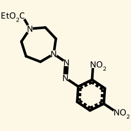 CCOC(=O)N1CCCN(N=Nc2ccc([N+](=O)[O-])cc2[N+](=O)[O-])CC1